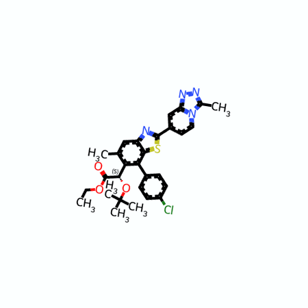 CCOC(=O)[C@@H](OC(C)(C)C)c1c(C)cc2nc(-c3ccn4c(C)nnc4c3)sc2c1-c1ccc(Cl)cc1